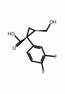 O=C(O)[C@@]1(c2ccc(F)c(F)c2)C[C@H]1CO